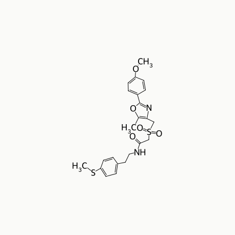 COc1ccc(-c2nc(CS(=O)(=O)CC(=O)NCCc3ccc(SC)cc3)c(C)o2)cc1